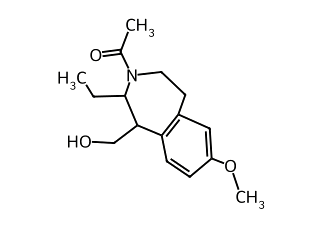 CCC1C(CO)c2ccc(OC)cc2CCN1C(C)=O